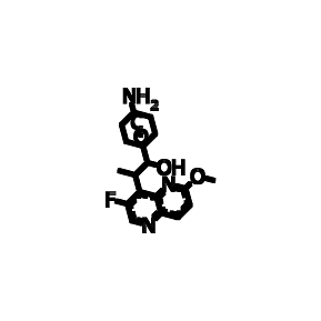 COc1ccc2ncc(F)c(C(C)C(O)C34CCC(N)(CC3)CO4)c2n1